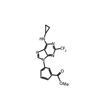 COC(=O)c1cccc(-n2cnc3c(NC4CC4)nc(C(F)(F)F)nc32)c1